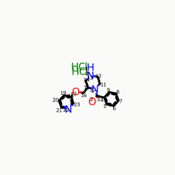 Cl.Cl.O=C(c1ccccc1)N1CCNCC1COc1cccnc1